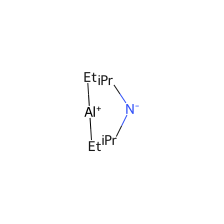 CC(C)[N-]C(C)C.C[CH2][Al+][CH2]C